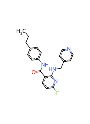 CCCc1ccc(NC(=O)c2ccc(F)nc2NCc2ccncc2)cc1